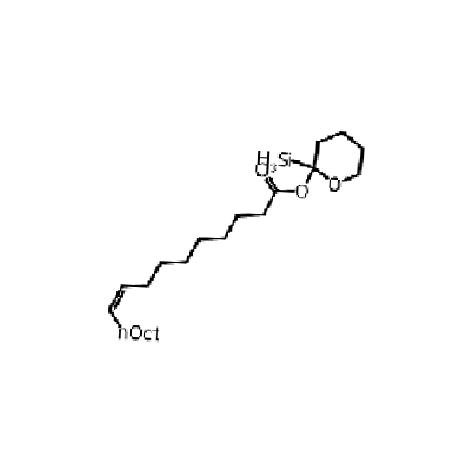 CCCCCCCC/C=C\CCCCCCCC(=O)OC1([SiH3])CCCCO1